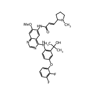 COc1cc2ncnc(Nc3ccc(Oc4cccc(F)c4F)cc3C(C)(C)O)c2cc1NC(=O)C=CC1CCCN1C